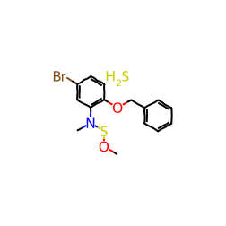 COSN(C)c1cc(Br)ccc1OCc1ccccc1.S